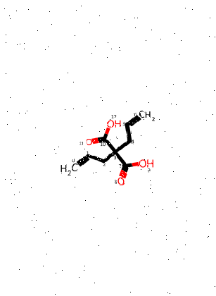 C=CCC(CC=C)(C(=O)O)C(=O)O